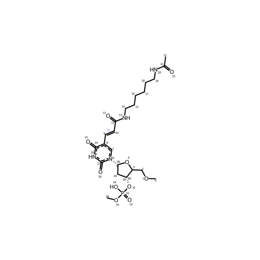 COCC1O[C@@H](n2cc(/C=C/C(=O)NCCCCCCNC(C)=O)c(=O)[nH]c2=O)C[C@H]1OP(=O)(O)OC